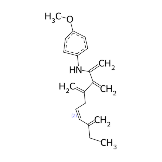 C=C(/C=C\CC(=C)C(=C)C(=C)Nc1ccc(OC)cc1)CC